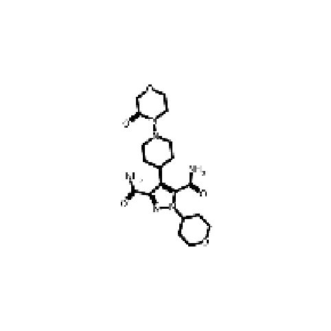 NC(=O)c1nn(C2CCOCC2)c(C(N)=O)c1C1CCN(N2CCOCC2=O)CC1